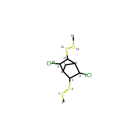 CSSC1C(Cl)C2CC1C(Cl)C2SSC